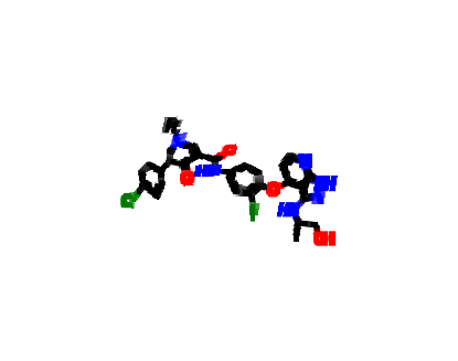 CC(CO)Nc1n[nH]c2nccc(Oc3ccc(NC(=O)c4cn(C(C)C)cc(-c5ccc(Cl)cc5)c4=O)cc3F)c12